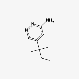 CCC(C)(C)c1cnnc(N)c1